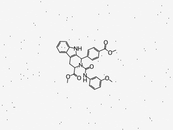 COC(=O)c1ccc(C2c3[nH]c4ccccc4c3CC(C(=O)OC)N2C(=O)Nc2cccc(OC)c2)cc1